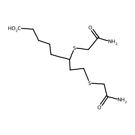 NC(=O)CSCCC(CCCCC(=O)O)SCC(N)=O